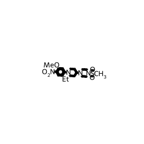 CCc1cc([N+](=O)[O-])c(OC)cc1N1CCC(N2CCN(S(C)(=O)=O)CC2)CC1